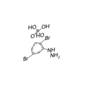 NNc1cc(Br)ccc1Br.O=P(O)(O)O